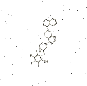 Fc1c(F)c(F)c(OC2CN(c3ncnc4c3CCN(c3cccc5ccccc35)C4)CCN2)c(S)c1F